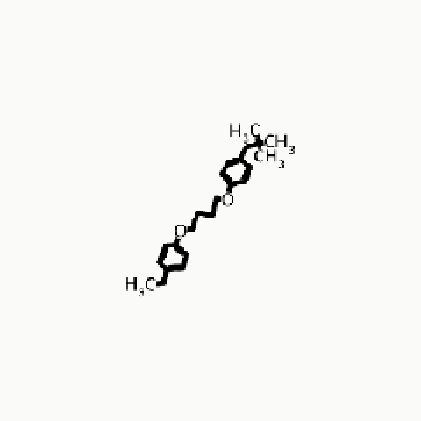 CCc1ccc(OCCCCOc2ccc(CC(C)(C)C)cc2)cc1